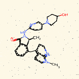 CC1c2c(cccc2-c2ccnc3c2ccn3C)C(=O)N1Nc1ccc(N2CCC(O)CC2)cn1